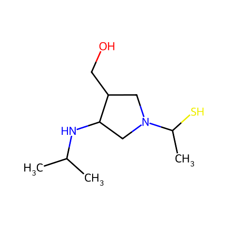 CC(C)NC1CN(C(C)S)CC1CO